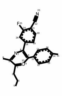 CCCC(=O)/C(C)=N\C(=C(/C)c1ccc(C)cc1)c1ccc(C#N)c(F)c1